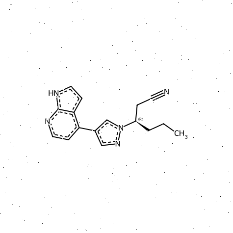 CCC[C@H](CC#N)n1cc(-c2ccnc3[nH]ccc23)cn1